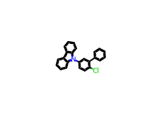 Clc1ccc(-n2c3ccccc3c3ccccc32)cc1-c1ccccc1